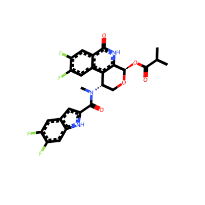 CC(C)C(=O)O[C@H]1OC[C@H](N(C)C(=O)c2cc3cc(F)c(F)cc3[nH]2)c2c1[nH]c(=O)c1cc(F)c(F)cc21